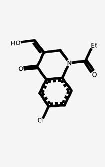 CCC(=O)N1C/C(=C/O)C(=O)c2cc(Cl)ccc21